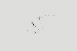 Cc1[nH]c(C(=O)NC2CCN(c3ncc(C(=O)O)s3)CC2N=[N+]=[N-])c(Cl)c1Cl